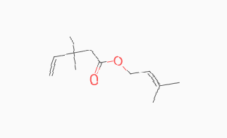 C=CC(C)(C)CC(=O)OCC=C(C)C